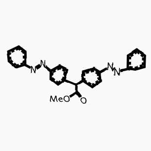 COC(=O)C(c1ccc(/N=N/c2ccccc2)cc1)c1ccc(/N=N/c2ccccc2)cc1